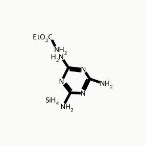 CCOC(N)=O.Nc1nc(N)nc(N)n1.[SiH4]